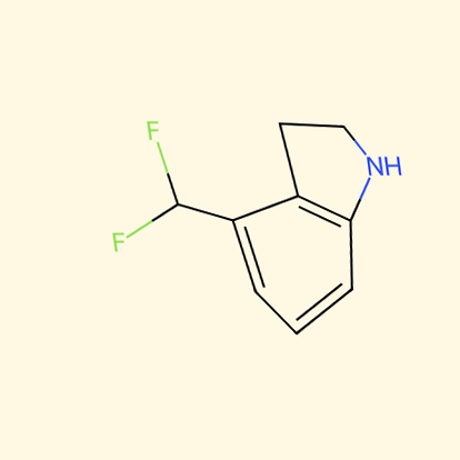 FC(F)c1cccc2c1CCN2